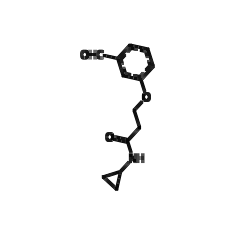 O=Cc1cccc(OCCC(=O)NC2CC2)c1